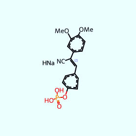 COc1ccc(/C(C#N)=C/c2ccc(OP(=O)(O)O)cc2)cc1OC.[NaH]